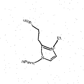 CCCCCCCCCCCc1n(CCCCC)cc[n+]1CC